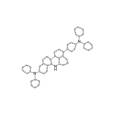 c1ccc(N(c2ccccc2)c2ccc(-c3ccc4c5c(cccc35)Nc3c-4ccc4cc(N(c5ccccc5)c5ccccc5)ccc34)cc2)cc1